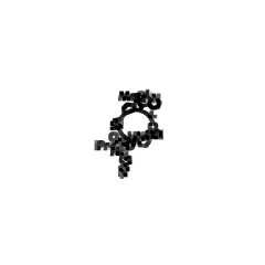 CCn1c(-c2cccnc2[C@H](C)OC)c2c3cc(ccc31)-c1csc(n1)C[C@H](NC(=O)[C@H](C(C)C)N(C)C(=O)N1CCC3(CN(C)C3)C1)C(=O)N1CCC[C@@](O)(N1)C(=O)OCC(C)(C)C2